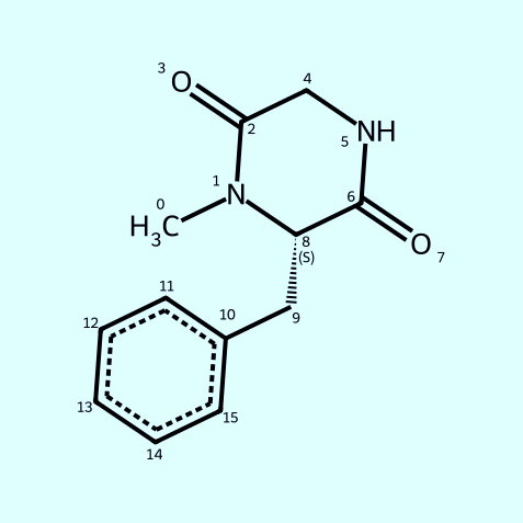 CN1C(=O)CNC(=O)[C@@H]1Cc1ccccc1